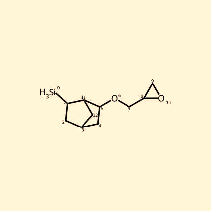 [SiH3]C1CC2CC(OCC3CO3)C1C2